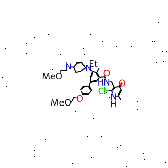 CCN(c1cc(-c2ccc(OCCOC)cc2)cc(C(=O)NCc2c(Cl)[nH]c(C)cc2=O)c1C)C1CCC(N(C)CCOC)CC1